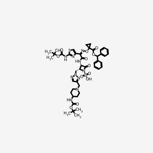 CC(C)(C)OC(=O)Nc1nc(C(=NOC2(C(=O)OC(c3ccccc3)c3ccccc3)CC2)C(=O)N[C@@H]2C(=O)N(S(=O)(=O)O)[C@@H]2Cn2ncc(CN3CCC(NC(=O)OC(C)(C)C)CC3)n2)cs1